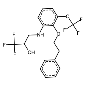 OC(CNc1cccc(OC(F)(F)F)c1OCCc1ccccc1)C(F)(F)F